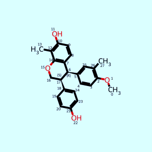 COc1ccc([C@@H]2c3ccc(O)c(C)c3OC[C@@H]2c2ccc(O)cc2)cc1C